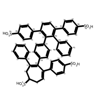 O=S(=O)(O)c1ccc(C2=CCC(S(=O)(=O)O)CC(c3ccccc3)=C2c2ccc(-c3c(-c4ccc(S(=O)(=O)O)cc4)ccc(-c4ccc(S(=O)(=O)O)cc4)c3-c3ccccc3)cc2)cc1